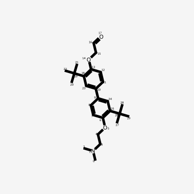 CN(C)CCOc1ccc(-c2ccc(OCC=O)c(C(C)(C)C)c2)cc1C(C)(C)C